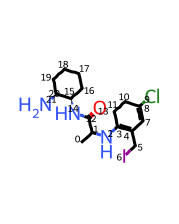 CC(NC1=C(CI)C=C(Cl)CC1)C(=O)N[C@H]1CCCC[C@@H]1N